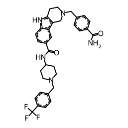 NC(=O)c1ccc(CN2CCc3[nH]c4ccc(C(=O)NC5CCN(Cc6ccc(C(F)(F)F)cc6)CC5)cc4c3C2)cc1